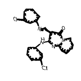 O=c1c(/C=N/c2cccc(Cl)c2)c(Nc2cccc(Cl)c2)nc2ccccn12